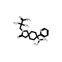 CN(C)C1(c2ccccn2)CCC2(CC1)CC(=O)N(CC(C)(C)C(N)=O)C2